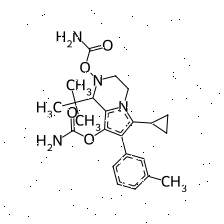 Cc1cccc(-c2c(OC(N)=O)c3n(c2C2CC2)CCN(OC(N)=O)C3C(C)(C)C)c1